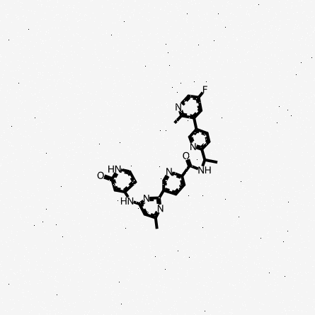 Cc1cc(Nc2cc[nH]c(=O)c2)nc(-c2ccc(C(=O)NC(C)c3ccc(-c4cc(F)cnc4C)cn3)nc2)n1